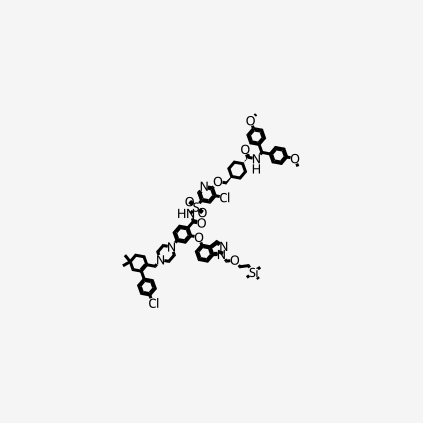 COc1ccc(C(NC(=O)[C@H]2CC[C@H](COc3ncc(S(=O)(=O)NC(=O)c4ccc(N5CCN(CC6=C(c7ccc(Cl)cc7)CC(C)(C)CC6)CC5)cc4Oc4cccc5c4cnn5COCC[Si](C)(C)C)cc3Cl)CC2)c2ccc(OC)cc2)cc1